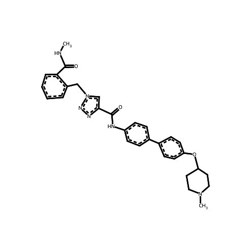 CNC(=O)c1ccccc1Cn1cc(C(=O)Nc2ccc(-c3ccc(OC4CCN(C)CC4)cc3)cc2)nn1